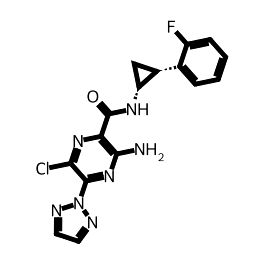 Nc1nc(-n2nccn2)c(Cl)nc1C(=O)N[C@@H]1C[C@@H]1c1ccccc1F